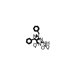 COC(=O)Nc1nc(OC)c2c(-c3ccccc3)nn(Cc3ccccc3)c2n1